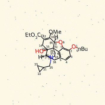 CCCCOc1ccc2c3c1O[C@H]1C(OC)=C(C(=O)OCC)C[C@@]4(O)[C@@H](C2)N(CC2CC2)CC[C@]314